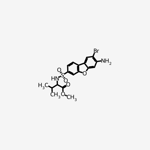 COC(=O)C(NS(=O)(=O)c1ccc2c(c1)oc1cc(N)c(Br)cc12)C(C)C